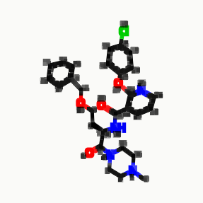 CN1CCN(C(=O)[C@@H](CCOCc2ccccc2)NC(=O)c2cccnc2Oc2ccc(Cl)cc2)CC1